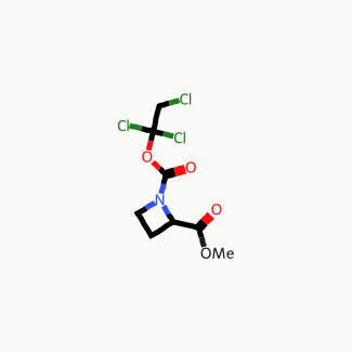 COC(=O)C1CCN1C(=O)OC(Cl)(Cl)CCl